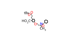 Cc1oc(-c2ccccc2)nc1CCOc1ccc(CCC(=O)OC(C)(C)C)c(C(=O)O)c1